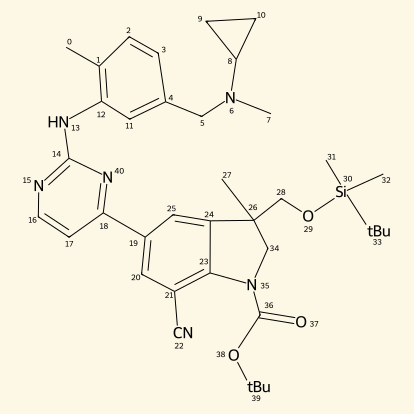 Cc1ccc(CN(C)C2CC2)cc1Nc1nccc(-c2cc(C#N)c3c(c2)C(C)(CO[Si](C)(C)C(C)(C)C)CN3C(=O)OC(C)(C)C)n1